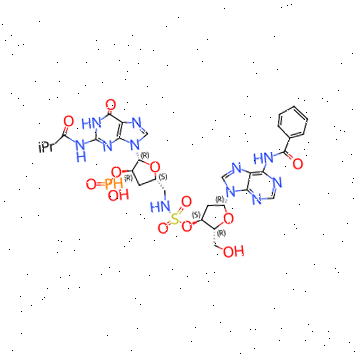 CC(C)C(=O)Nc1nc2c(ncn2[C@@H]2O[C@H](CNS(=O)(=O)O[C@H]3C[C@H](n4cnc5c(NC(=O)c6ccccc6)ncnc54)O[C@@H]3CO)C[C@H]2O[PH](=O)O)c(=O)[nH]1